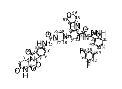 O=C1CCC(N2C(=O)c3ccc(NCC(=O)N4CCN(c5ccc(C(=O)Nc6n[nH]c7ccc(Cc8cc(F)cc(F)c8)cc67)c(NC6CCOCC6)c5)CC4)cc3C2=O)C(=O)N1